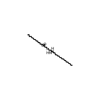 CCCCCCCCCCCCCCCCCCNC(=N)CCCSCCC(=O)OCCCCCCCCCCCCCC